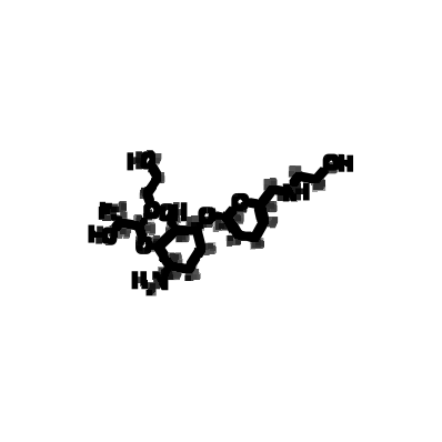 CC[C@@H](O)[C@H](OCCO)O[C@@H]1[C@@H](O)[C@H](O[C@@H]2CCC=C(CNCCO)O2)CC[C@H]1N